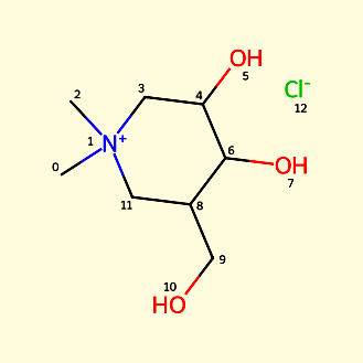 C[N+]1(C)CC(O)C(O)C(CO)C1.[Cl-]